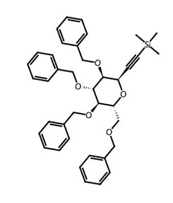 C[Si](C)(C)C#C[C@H]1O[C@H](COCc2ccccc2)[C@@H](OCc2ccccc2)[C@H](OCc2ccccc2)[C@H]1OCc1ccccc1